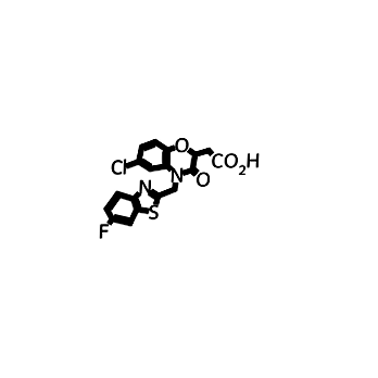 O=C(O)CC1Oc2ccc(Cl)cc2N(Cc2nc3ccc(F)cc3s2)C1=O